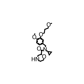 COCCCOc1cc(CN(C(=O)C2CNCCO2)C2CC2)ccc1OC